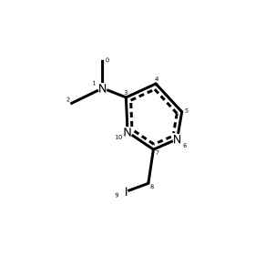 CN(C)c1ccnc(CI)n1